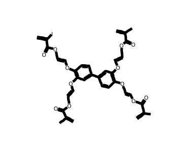 C=C(C)C(=O)O/C=C/Oc1ccc(-c2ccc(O/C=C/OC(=O)C(=C)I)c(O/C=C/OC(=O)C(=C)C)c2)cc1O/C=C/OC(=O)C(=C)C